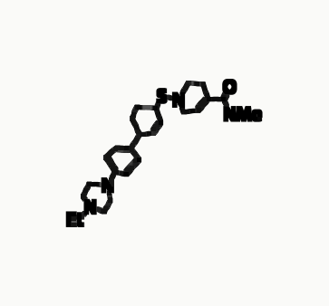 CCN1CCN(c2ccc(C3C=CC(SN4CC=C(C(=O)NC)CC4)CC3)cc2)CC1